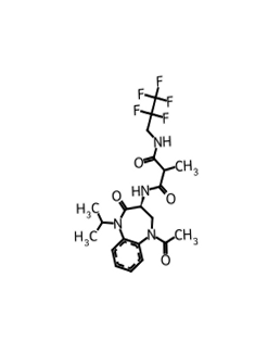 CC(=O)N1C[C@H](NC(=O)C(C)C(=O)NCC(F)(F)C(F)(F)F)C(=O)N(C(C)C)c2ccccc21